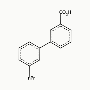 CCCc1cccc(-c2cccc(C(=O)O)c2)c1